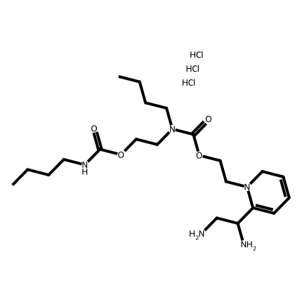 CCCCNC(=O)OCCN(CCCC)C(=O)OCCN1CC=CC=C1C(N)CN.Cl.Cl.Cl